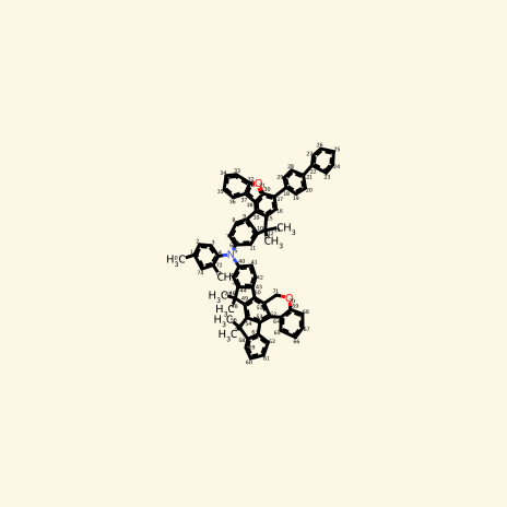 Cc1ccc(N(c2ccc3c(c2)C(C)(C)c2cc(-c4ccc(-c5ccccc5)cc4)c4oc5ccccc5c4c2-3)c2ccc3c(c2)C(C)(C)c2c-3c3c(c4c2C(C)(C)c2ccccc2-4)-c2ccccc2OC3)c(C)c1